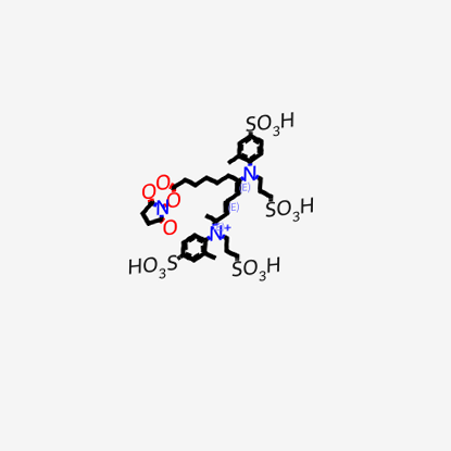 CC(/C=C/C=C(\CCCCCC(=O)ON1C(=O)CCC1=O)N(CCCS(=O)(=O)O)c1ccc(S(=O)(=O)O)cc1C)=[N+](/CCCS(=O)(=O)O)c1ccc(S(=O)(=O)O)cc1C